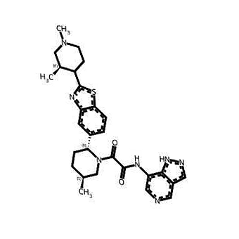 C[C@H]1CC[C@H](c2ccc3sc(C4CCN(C)C[C@@H]4C)nc3c2)N(C(=O)C(=O)Nc2cncc3cn[nH]c23)C1